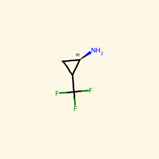 N[C@@H]1[CH]C1C(F)(F)F